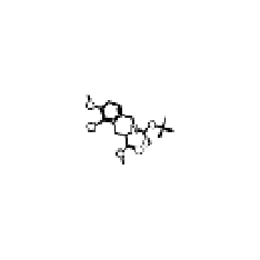 COC(=O)C1Cc2c(ccc(OC)c2Cl)CN1C(=O)OC(C)(C)C